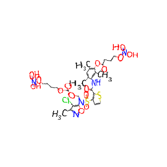 Cc1cc(C)c(OC(=O)CCCON(O)O)c(C)c1NC(=O)c1sccc1S(=O)(=O)N(COC(=O)OCCCCON(O)O)c1onc(C)c1Cl